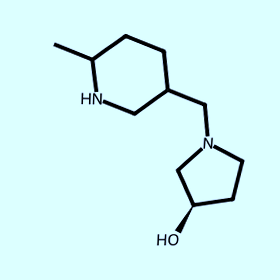 CC1CCC(CN2CC[C@@H](O)C2)CN1